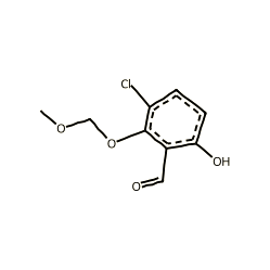 COCOc1c(Cl)ccc(O)c1C=O